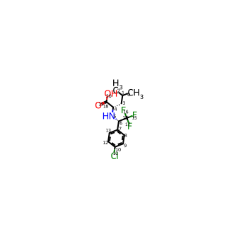 CC(C)C[C@H](N[C@@H](c1ccc(Cl)cc1)C(F)(F)F)C(=O)O